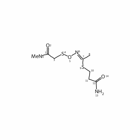 CNC(=O)CSON=C(C)SCCC(N)=O